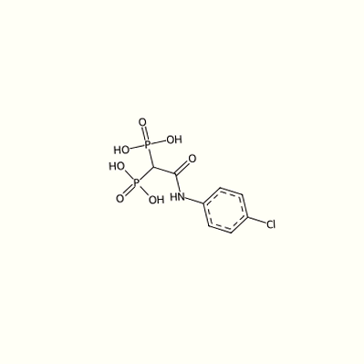 O=C(Nc1ccc(Cl)cc1)C(P(=O)(O)O)P(=O)(O)O